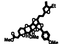 C=C1CC(CCC2OC3C4OC5CCC(CC(=O)OC)O[C@@H]5C(OC)[C@H]4O[C@@]34OC(c3ccc(OC)cc3)OC24)OC1CC